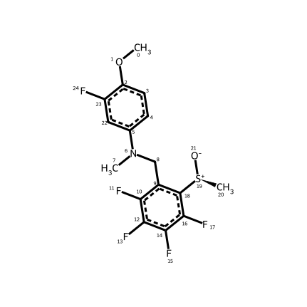 COc1ccc(N(C)Cc2c(F)c(F)c(F)c(F)c2[S@+](C)[O-])cc1F